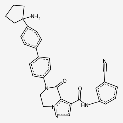 N#Cc1cccc(NC(=O)c2cnn3c2C(=O)N(c2ccc(-c4ccc(C5(N)CCCC5)cc4)cc2)CC3)c1